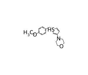 COc1ccc(C[SH]2C=CC(N3CCOCC3)=C2)cc1